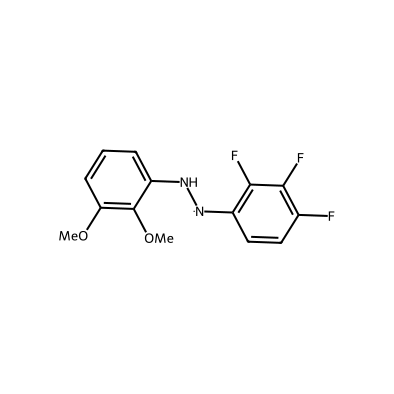 COc1cccc(N[N]c2ccc(F)c(F)c2F)c1OC